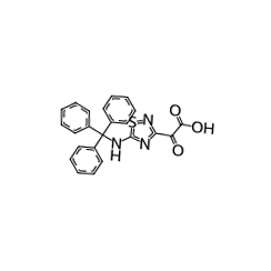 O=C(O)C(=O)c1nsc(NC(c2ccccc2)(c2ccccc2)c2ccccc2)n1